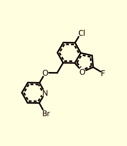 Fc1cc2c(Cl)ccc(COc3cccc(Br)n3)c2o1